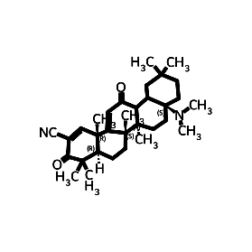 CN(C)[C@]12CCC(C)(C)CC1C1C(=O)C=C3[C@@]4(C)C=C(C#N)C(=O)C(C)(C)[C@@H]4CC[C@@]3(C)[C@]1(C)CC2